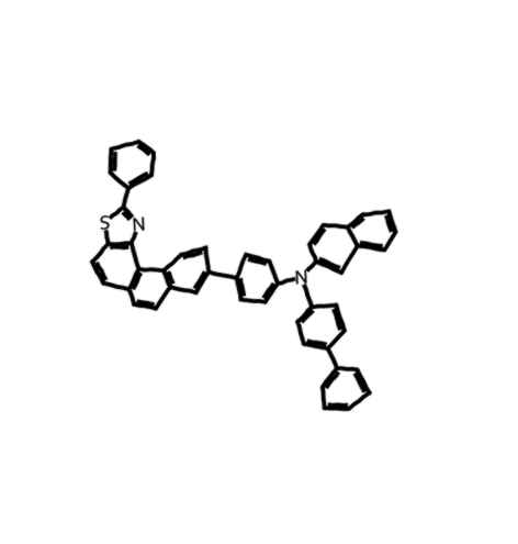 c1ccc(-c2ccc(N(c3ccc(-c4ccc5c(ccc6ccc7sc(-c8ccccc8)nc7c65)c4)cc3)c3ccc4ccccc4c3)cc2)cc1